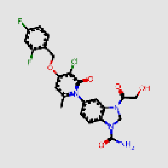 Cc1cc(OCc2ccc(F)cc2F)c(Cl)c(=O)n1-c1ccc2c(c1)N(C(=O)CO)CN2C(N)=O